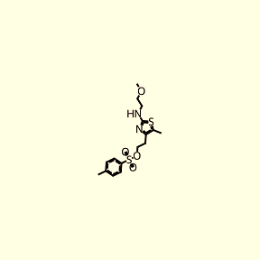 COCCNc1nc(CCOS(=O)(=O)c2ccc(C)cc2)c(C)s1